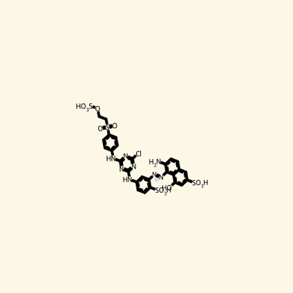 Nc1ccc2cc(S(=O)(=O)O)cc(O)c2c1/N=N/c1cc(Nc2nc(Cl)nc(Nc3ccc(S(=O)(=O)CCOS(=O)(=O)O)cc3)n2)ccc1S(=O)(=O)O